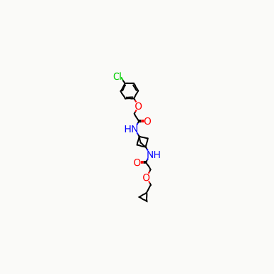 O=C(COCC1CC1)NC12CC(NC(=O)COc3ccc(Cl)cc3)(C1)C2